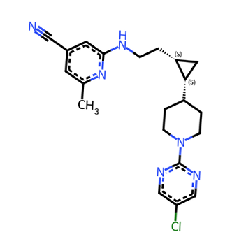 Cc1cc(C#N)cc(NCC[C@@H]2C[C@@H]2C2CCN(c3ncc(Cl)cn3)CC2)n1